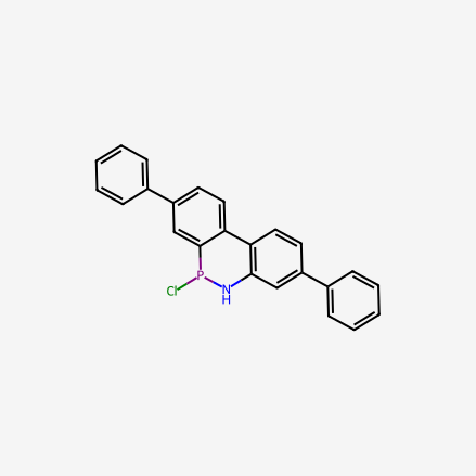 ClP1Nc2cc(-c3ccccc3)ccc2-c2ccc(-c3ccccc3)cc21